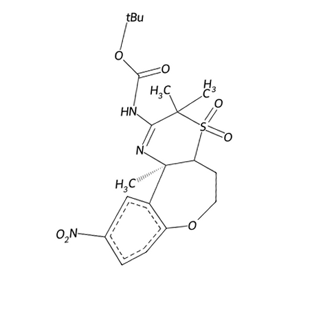 CC(C)(C)OC(=O)NC1=N[C@]2(C)c3cc([N+](=O)[O-])ccc3OCCC2S(=O)(=O)C1(C)C